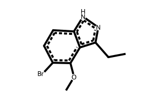 CCc1n[nH]c2ccc(Br)c(OC)c12